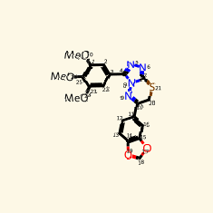 COc1cc(-c2nnc3n2N=C(c2ccc4c(c2)OCO4)CS3)cc(OC)c1OC